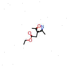 CCOC(=O)Cc1c(C)noc1C